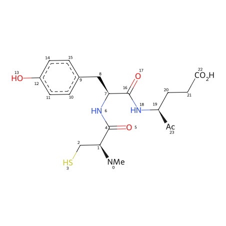 CN[C@@H](CS)C(=O)N[C@@H](Cc1ccc(O)cc1)C(=O)N[C@@H](CCC(=O)O)C(C)=O